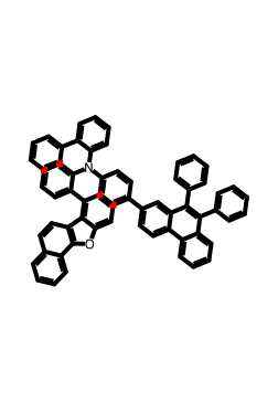 c1ccc(-c2ccccc2N(c2ccc(-c3ccc4c(c3)c(-c3ccccc3)c(-c3ccccc3)c3ccccc34)cc2)c2ccccc2-c2cccc3oc4c5ccccc5ccc4c23)cc1